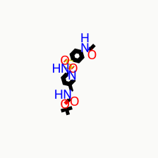 CC(=O)Nc1ccc(S(=O)(=O)Nc2ccc(CNC(=O)OC(C)(C)C)cn2)cc1